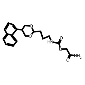 NC(=O)COC(=O)NCCCC1OCC(c2cccc3ccccc23)CO1